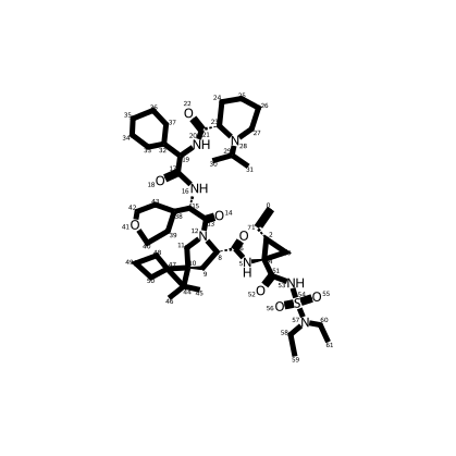 C=C[C@@H]1C[C@]1(NC(=O)[C@@H]1C[C@@]2(CN1C(=O)[C@@H](NC(=O)C(NC(=O)[C@@H]1CCCCN1C(C)C)C1CCCCC1)C1CCOCC1)C(C)(C)C21CCC1)C(=O)NS(=O)(=O)N(CC)CC